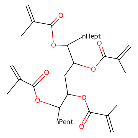 C=C(C)C(=O)OC(CCCCC)C(CC(OC(=O)C(=C)C)C(CCCCCCC)OC(=O)C(=C)C)OC(=O)C(=C)C